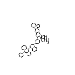 CC1(C)c2ccc(-c3ccc(-c4c5ccccc5c(-c5ccccc5)c5ccccc45)c4ccccc34)cc2-c2cc3cc4c(cc3cc21)oc1ccccc14